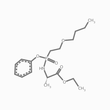 CCCCOCCP(=O)(N[C@@H](C)C(=O)OCC)Oc1ccccc1